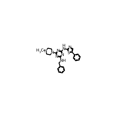 CN1CCN(c2nc(NCc3ccccc3)nc(Nc3ncc(-c4ccccc4)s3)n2)CC1